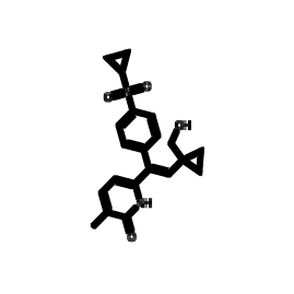 Cc1ccc(C(=CC2(CO)CC2)c2ccc(S(=O)(=O)C3CC3)cc2)[nH]c1=O